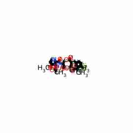 COc1ccnc(C(=O)N[C@H]2COC(=O)[C@H](Cc3ccc(C(F)(F)F)cc3)[C@@H](OC(=O)C(C)C)[C@H](C)OC2=O)c1OC(C)=O